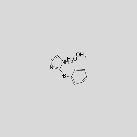 O.O.[B](c1ccccc1)c1ncc[nH]1